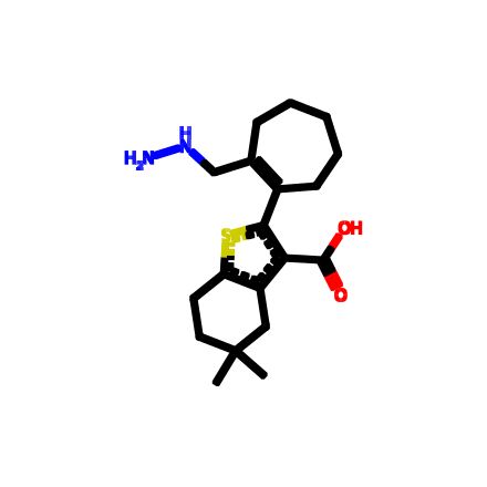 CC1(C)CCc2sc(C3=C(CNN)CCCCC3)c(C(=O)O)c2C1